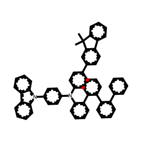 CC1(C)c2ccccc2-c2ccc(-c3ccc(N(c4ccc(-n5c6ccccc6c6ccccc65)cc4)c4ccccc4-c4ccccc4-c4ccccc4-c4ccccc4)cc3)cc21